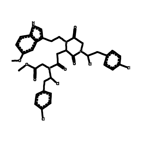 COC(=O)CN(C(=O)CC1C(=O)N(C(Cl)Cc2ccc(Cl)cc2)CC(=O)N1CCc1c[nH]c2ccc(OC)cc12)C(Cl)Cc1ccc(Cl)cc1